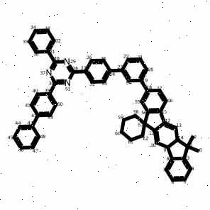 CC1(C)c2ccccc2C2C=C3C(=CC21)c1ccc(-c2cccc(-c4ccc(-c5nc(-c6ccccc6)nc(-c6ccc(-c7ccccc7)cc6)n5)cc4)c2)cc1C31CCCCC1